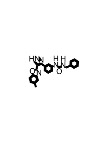 Cc1ccc2oc(-c3c[nH]nc3-c3cccc(NC(=O)NCc4ccccc4)c3)nc2c1